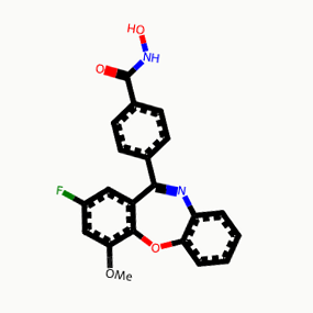 COc1cc(F)cc2c1Oc1ccccc1N=C2c1ccc(C(=O)NO)cc1